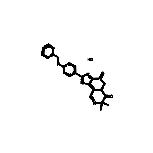 CC1(C)N=CC2=C3N=C(c4ccc(OCc5ccccc5)cc4)N=C3C(=O)CC2C1=O.Cl